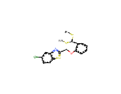 CCCSC(SCCC)c1ccccc1OCc1nc2cc(Cl)ccc2s1